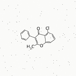 Cc1oc2cccc(Cl)c2c(=O)c1-c1ccccc1